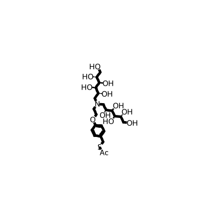 CC(=O)SCc1ccc(OCCN(C[C@@H](O)[C@@H](O)[C@H](O)[C@H](O)CO)C[C@@H](O)[C@@H](O)[C@H](O)[C@H](O)CO)cc1